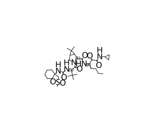 CCCC[C@@H](NC(=O)[C@@H]1C2C(CN1C(=O)[C@@H](NC(=O)NC1(CS(C)(=O)=O)CCCCC1)C(C)(C)C)C2(C)C)C(=O)C(=O)NC1CC1